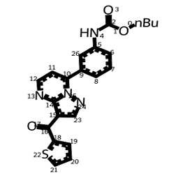 CCCCOC(=O)Nc1cccc(-c2ccnc3c(C(=O)c4cccs4)cnn23)c1